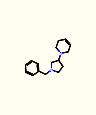 C1=CCN(C2CCN(Cc3ccccc3)C2)CC1